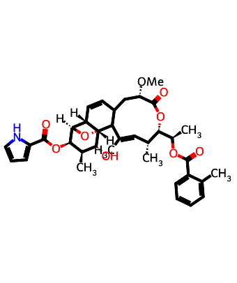 CO[C@H]1CC2C=C[C@H]3[C@H]4O[C@]2(/C(C)=C/[C@@H](C)[C@@H]([C@@H](C)OC(=O)c2ccccc2C)OC1=O)[C@@H]3[C@H](O)[C@@H](C)[C@H]4OC(=O)c1ccc[nH]1